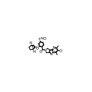 Cc1nc2c3c(nn2c(C)c1Cl)CN(C(=O)c1ccc(F)cc1O[C@H]1C[C@@H]2CC[C@@H]1N2)C3.Cl